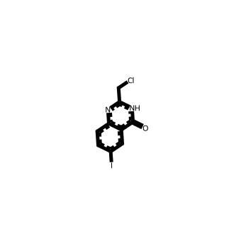 O=c1[nH]c(CCl)nc2ccc(I)cc12